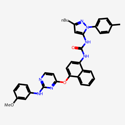 CCCCc1cc(NC(=O)Nc2ccc(Oc3ccnc(Nc4cccc(OC)c4)n3)c3ccccc23)n(-c2ccc(C)cc2)n1